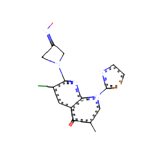 O=C(O)c1cn(-c2nccs2)c2nc(N3CC(=NO)C3)c(F)cc2c1=O